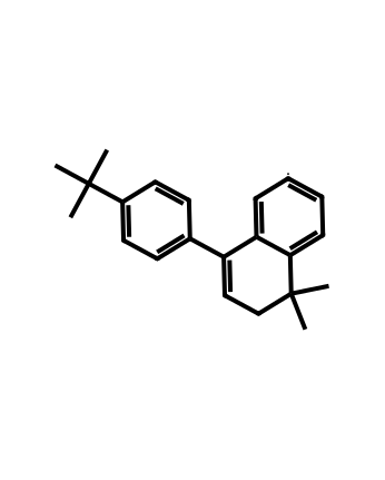 CC(C)(C)c1ccc(C2=CCC(C)(C)c3cc[c]cc32)cc1